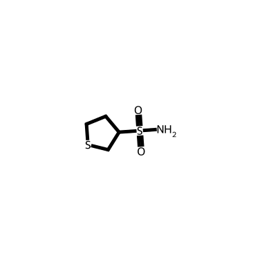 NS(=O)(=O)C1CCSC1